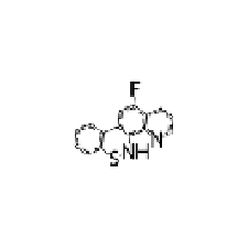 Fc1cc2c(c3ncccc13)NSc1ccccc1-2